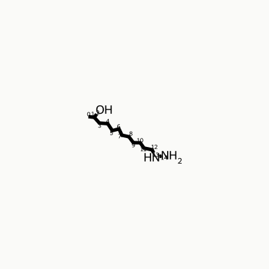 CC(O)CCCCCCCCCCNN